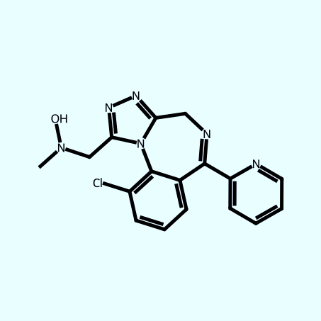 CN(O)Cc1nnc2n1-c1c(Cl)cccc1C(c1ccccn1)=NC2